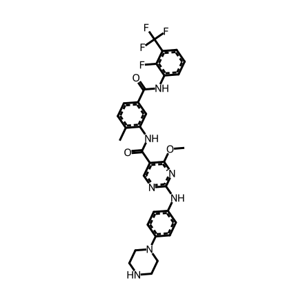 COc1nc(Nc2ccc(N3CCNCC3)cc2)ncc1C(=O)Nc1cc(C(=O)Nc2cccc(C(F)(F)F)c2F)ccc1C